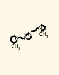 CC1CCCN(CCN2[C]N(CCCN3CCC[C@@H]3C)CC2)C1